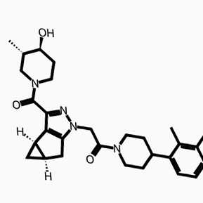 Cc1cccc(C2CCN(C(=O)Cn3nc(C(=O)N4CC[C@H](O)[C@@H](C)C4)c4c3C[C@H]3C[C@@H]43)CC2)c1C